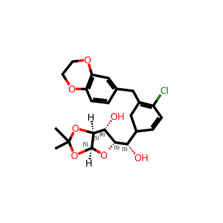 CC1(C)O[C@@H]2O[C@@H]([C@@H](O)C3C=CC(Cl)=C(Cc4ccc5c(c4)OCCO5)C3)[C@@H](O)[C@@H]2O1